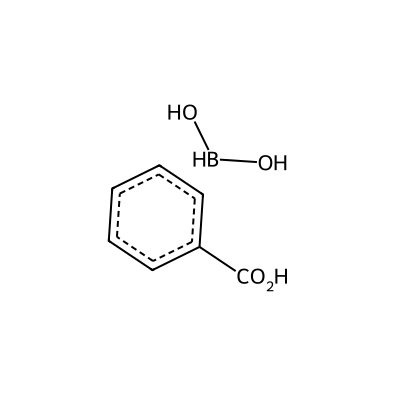 O=C(O)c1ccccc1.OBO